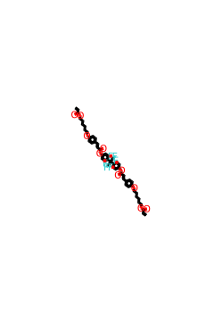 C=CC(=O)OCCCCCCOc1ccc(/C=C/C(=O)Oc2ccc(C(c3ccc(OC(=O)/C=C/c4ccc(OCCCCCCOC(=O)C=C)cc4)cc3)(C(F)(F)F)C(F)(F)F)cc2)cc1